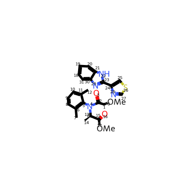 COCC(=O)N(c1c(C)cccc1C)[C@H](C)C(=O)OC.c1ccc2[nH]c(-c3cscn3)nc2c1